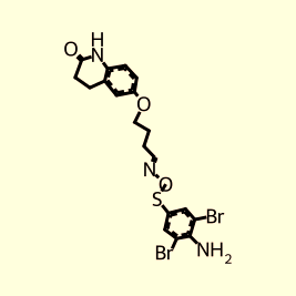 Nc1c(Br)cc(SON=CCCCOc2ccc3c(c2)CCC(=O)N3)cc1Br